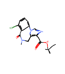 CN1Cc2c(C(=O)OC(C)(C)C)ncn2-c2cccc(Cl)c2C1=O